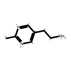 Cc1ncc(CCN)cn1